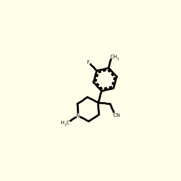 Cc1ccc(C2(CC#N)CCN(C)CC2)cc1F